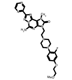 COCCOc1ccc(N2CCN(CCn3c(=O)n(C)c4c3nc(N)n3nc(-c5cnccn5)nc43)CC2)c(F)c1